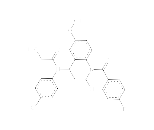 CCC(=O)N(c1ccc(Cl)cc1)C1CC(C)N(C(=O)c2ccc(F)cc2)c2ccc(OC)cc21